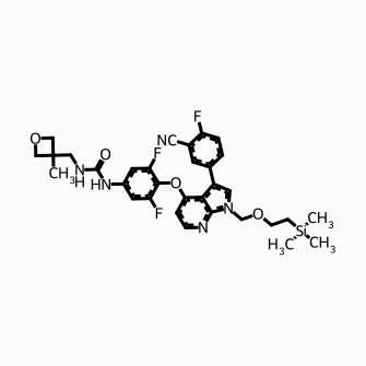 CC1(CNC(=O)Nc2cc(F)c(Oc3ccnc4c3c(-c3ccc(F)c(C#N)c3)cn4COCC[Si](C)(C)C)c(F)c2)COC1